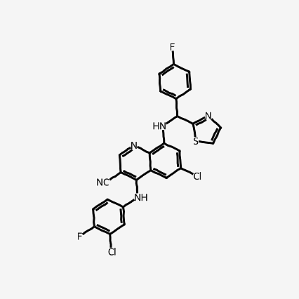 N#Cc1cnc2c(NC(c3ccc(F)cc3)c3nccs3)cc(Cl)cc2c1Nc1ccc(F)c(Cl)c1